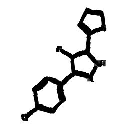 FC1C(c2ccc(Cl)cc2)=NNC1c1cccs1